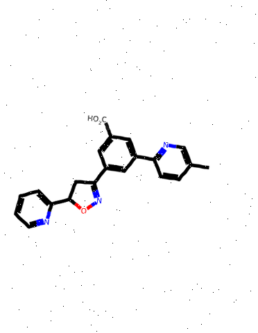 Cc1ccc(-c2cc(C(=O)O)cc(C3=NOC(c4ccccn4)C3)c2)nc1